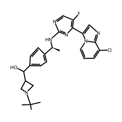 C[C@H](Nc1ncc(F)c(-c2cnc3c(Cl)cccn23)n1)c1ccc(C(O)C2CN(C(C)(C)C)C2)cc1